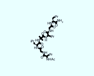 CC(=O)NC(C(=O)NCC(=O)N[C@@H](CC(C)C)C(=O)NC(C)(C)C(=O)NC(C(=O)NCC(=O)N[C@@H](CC(C)C)C(N)=O)C(C)C)C(C)C